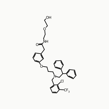 O=C(Cc1cccc(OCCCN(Cc2cccc(C(F)(F)F)c2Cl)CC(c2ccccc2)c2ccccc2)c1)NCCOCCO